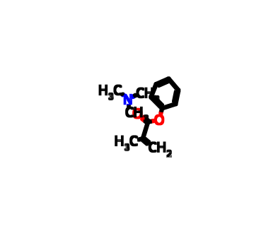 C=C(C)C(=O)Oc1ccccc1.CN(C)C